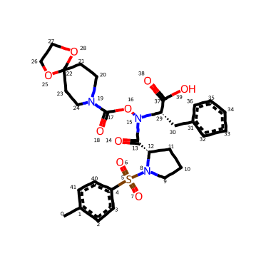 Cc1ccc(S(=O)(=O)N2CCC[C@H]2C(=O)N(OC(=O)N2CCC3(CC2)OCCO3)[C@@H](Cc2ccccc2)C(=O)O)cc1